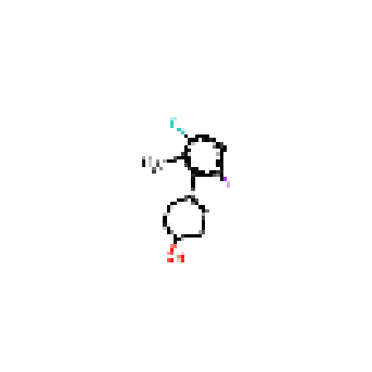 Cc1c(F)ccc(I)c1C1CCC(O)CC1